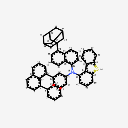 c1ccc(-c2cccc3cccc(-c4cccc(N(c5cccc6c(C78CC9CC(CC(C9)C7)C8)cccc56)c5cccc6sc7ccccc7c56)c4)c23)cc1